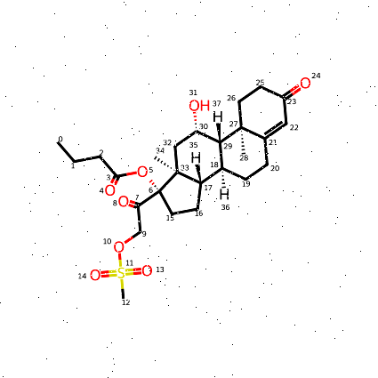 CCCC(=O)O[C@@]1(C(=O)COS(C)(=O)=O)CC[C@H]2[C@@H]3CCC4=CC(=O)CC[C@]4(C)[C@H]3[C@@H](O)C[C@@]21C